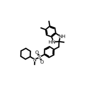 Cc1cc2c(cc1C)NC(C)(Cc1ccc(S(=O)(=O)N(C)C3CCCCC3)cc1)N2